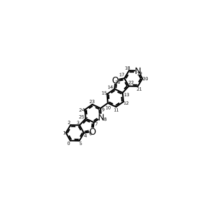 c1ccc2c(c1)oc1nc(-c3ccc4c(c3)oc3cnccc34)ccc12